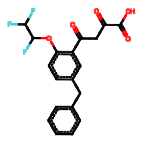 O=C(O)C(=O)CC(=O)c1cc(Cc2ccccc2)ccc1OC(F)C(F)F